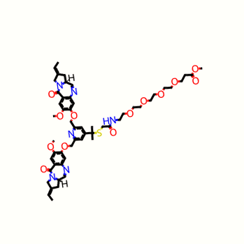 C/C=C1\C[C@H]2C=Nc3cc(OCc4cc(C(C)(C)SCC(=O)NCCOCCOCCOCCOCCC(=O)OC)cc(COc5cc6c(cc5OC)C(=O)N5C/C(=C/C)C[C@H]5C=N6)n4)c(OC)cc3C(=O)N2C1